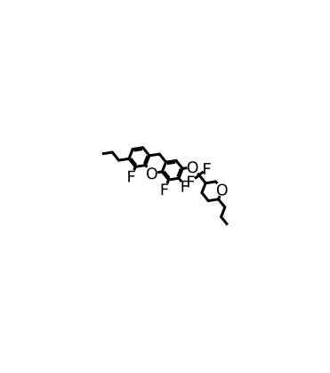 CCCc1ccc2c(c1F)Oc1c(cc(OC(F)(F)C3CCC(CCC)OC3)c(F)c1F)C2